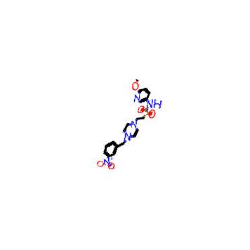 COc1ccc(NS(=O)(=O)CCN2CCN(Cc3cccc([N+](=O)[O-])c3)CC2)cn1